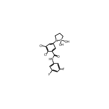 O=C(Nc1cc(F)cc(F)c1)c1cc(N2CCCS2(O)O)cc(Cl)c1Cl